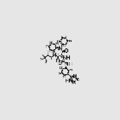 CC(C)(C)CCN1C(=O)C(NC(=O)Nc2cccc(-c3nnn[nH]3)c2)C(=O)N(c2ccccc2)c2ccccc21